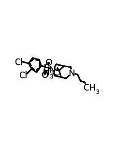 CCCCN1CC2CN(S(=O)(=O)c3ccc(Cl)c(Cl)c3)CC(C1)C2(C)C